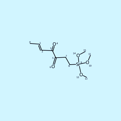 CC=CC(=O)C(=O)CC[Si](OC)(OC)OC